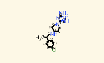 CC(CNC1CCN(c2nc(N)n[nH]2)CC1)c1ccc(Cl)cc1